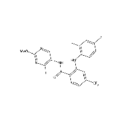 COc1ncc(NC(=O)c2ccc(C(F)(F)F)cc2Nc2ccc(F)cc2C)c(C)n1